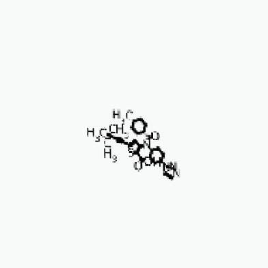 CC(C)(C)C#Cc1cc(N(C(=O)[C@H]2CC[C@H](C)CC2)[C@H]2CC[C@H](n3ccnn3)CC2)c(C(=O)O)s1